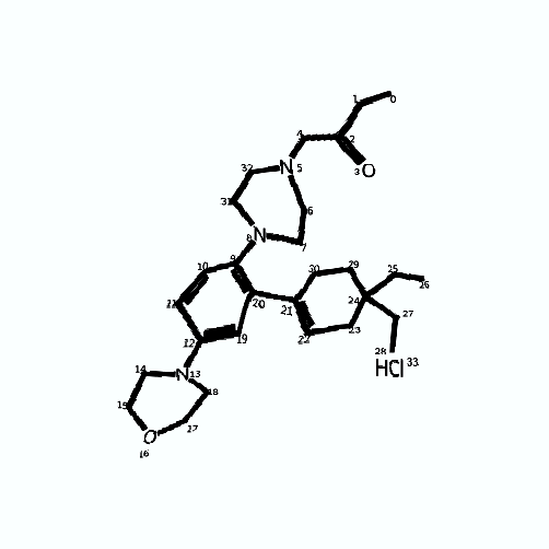 CCC(=O)CN1CCN(c2ccc(N3CCOCC3)cc2C2=CCC(CC)(CC)CC2)CC1.Cl